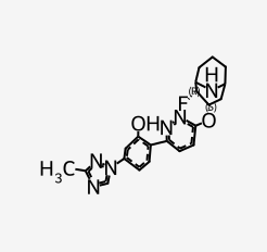 Cc1ncn(-c2ccc(-c3ccc(O[C@H]4CC5CCCC(N5)[C@H]4F)nn3)c(O)c2)n1